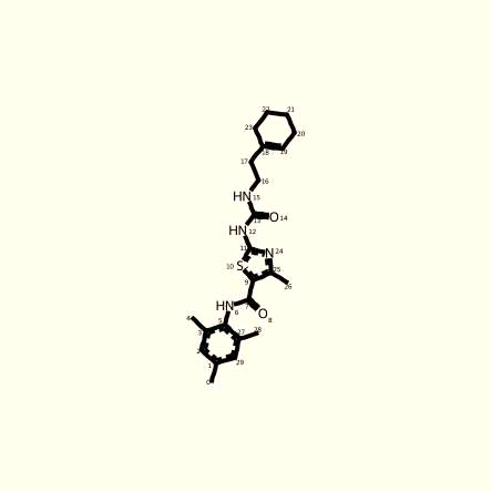 Cc1cc(C)c(NC(=O)c2sc(NC(=O)NCCC3=CCCCC3)nc2C)c(C)c1